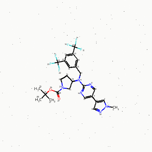 Cn1cc(-c2cnc(N(Cc3cc(C(F)(F)F)cc(C(F)(F)F)c3)C3CCN(C(=O)OC(C)(C)C)C3)nc2)cn1